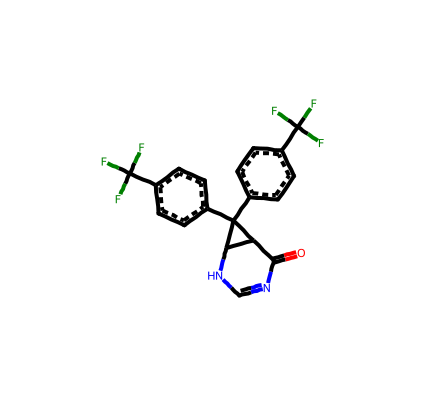 O=C1N=CNC2C1C2(c1ccc(C(F)(F)F)cc1)c1ccc(C(F)(F)F)cc1